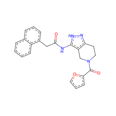 O=C(Cc1cccc2ccccc12)Nc1[nH]nc2c1CN(C(=O)c1ccco1)CC2